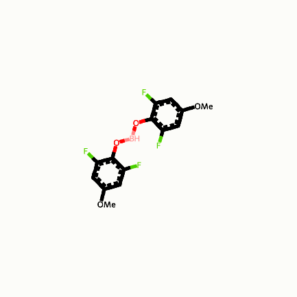 COc1cc(F)c(OBOc2c(F)cc(OC)cc2F)c(F)c1